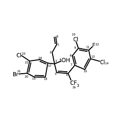 C=CCC(O)(/C=C(\c1cc(Cl)c(F)c(Cl)c1)C(F)(F)F)c1ccc(Br)c(Cl)c1